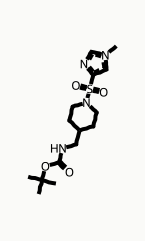 Cn1cnc(S(=O)(=O)N2CCC(CNC(=O)OC(C)(C)C)CC2)c1